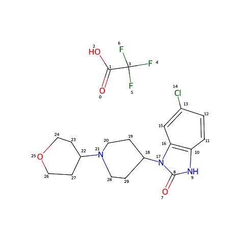 O=C(O)C(F)(F)F.O=c1[nH]c2ccc(Cl)cc2n1C1CCN(C2CCOCC2)CC1